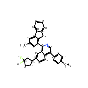 Cc1ccc(-c2cnc(-c3cc(C)cc4c3Cc3ccccc3-4)c3cc(C4CCC(F)(F)C4)ccc23)cc1